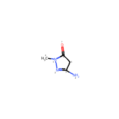 CN1N=C(N)CC1=O